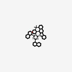 CC1(C)c2ccccc2-c2c3c1cccc3cc1c3ccccc3n(-c3nc(-c4cccc5ccccc45)nc(-c4cccc5ccccc45)n3)c21